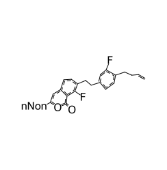 C=CCCc1ccc(CCc2ccc3cc(CCCCCCCCC)oc(=O)c3c2F)cc1F